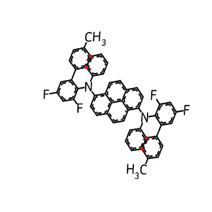 Cc1ccc(-c2cc(F)cc(F)c2N(c2ccccc2)c2ccc3ccc4c(N(c5ccccc5)c5c(F)cc(F)cc5-c5ccc(C)cc5)ccc5ccc2c3c54)cc1